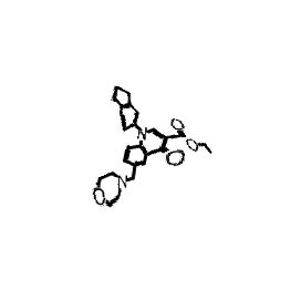 CCOC(=O)c1cn(-c2ccc3c(c2)CCC3)c2ccc(CN3CCOCC3)cc2c1=O